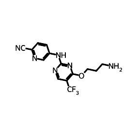 N#Cc1ccc(Nc2ncc(C(F)(F)F)c(OCCCN)n2)cn1